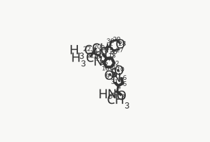 CNC(=O)c1ccn(S(=O)(=O)c2ccc3c(c2)nc(C(C)(C)C)n3CC2CCOCC2)c1